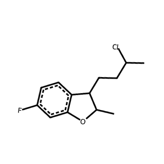 CC(Cl)CCC1c2ccc(F)cc2OC1C